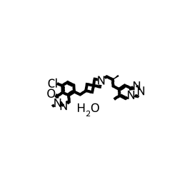 Cc1cn2cnnc2cc1C[C@H](C)CN1CC2(CC(Cc3ccc(Cl)c4c(=O)n(C)ncc34)C2)C1.O